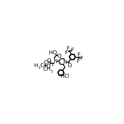 CC(C)(C)OC(=O)CN(CC(=O)O)C1CCN(C(=O)c2cc(C(F)(F)F)cc(C(F)(F)F)c2)C(Cc2ccccc2)C1.Cl